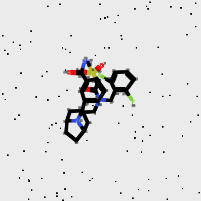 CS(=O)(=O)CC(=O)N(CCN1C2CCC1CC(c1cccc(C(N)=O)c1)C2)Cc1c(F)cccc1F